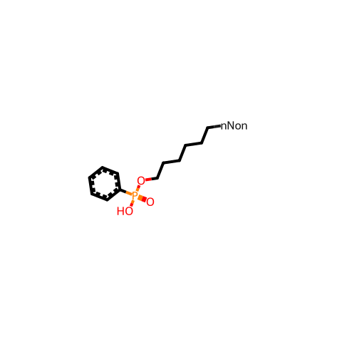 CCCCCCCCCCCCCCCOP(=O)(O)c1ccccc1